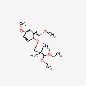 CCOC(OCC)C(C)(C)COc1ccc(OC)cc1/C=C/OC